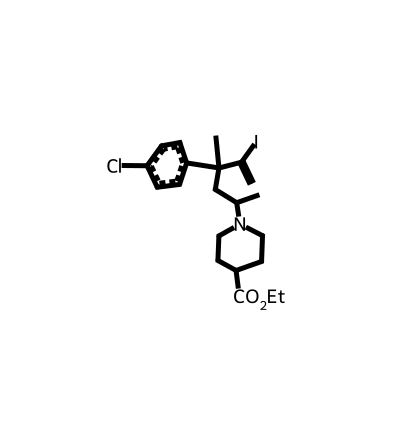 C=C(I)C(C)(CC(C)N1CCC(C(=O)OCC)CC1)c1ccc(Cl)cc1